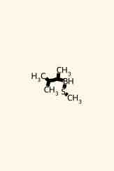 CSBC(C)C(C)C